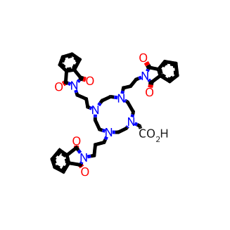 O=C(O)CN1CCN(CCCN2C(=O)c3ccccc3C2=O)CCN(CCCN2C(=O)c3ccccc3C2=O)CCN(CCCN2C(=O)c3ccccc3C2=O)CC1